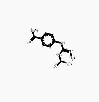 CNC(=O)c1ccc(N/C(=N/C#N)NC(C)C(C)(C)C)cc1